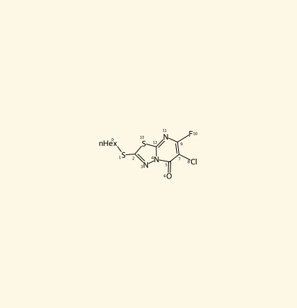 CCCCCCSc1nn2c(=O)c(Cl)c(F)nc2s1